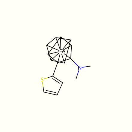 CN(C)[C]12[CH]3[CH]4[CH]5[C]1(c1cccs1)[Fe]45321678[CH]2[CH]1[CH]6[CH]7[CH]28